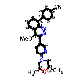 COc1c(-c2ccc(N3C[C@@H](C)O[C@@H](C)C3)nc2)nnc2c(-c3ccc(C#N)cc3)cccc12